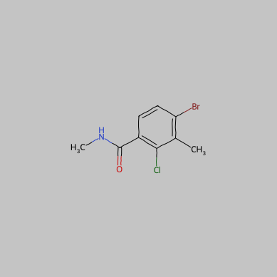 CNC(=O)c1ccc(Br)c(C)c1Cl